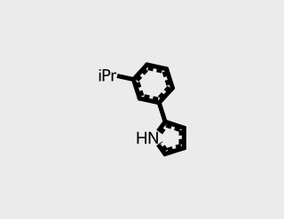 CC(C)c1cccc(-c2ccc[nH]2)c1